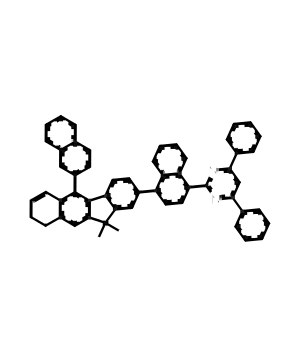 CC1(C)c2cc(-c3ccc(-c4nc(-c5ccccc5)cc(-c5ccccc5)n4)c4ccccc34)ccc2-c2c1cc1c(c2-c2ccc3ccccc3c2)C=CCC1